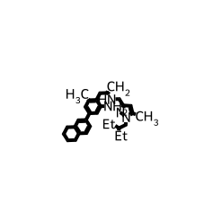 C=C(Cc1c(C)cc(-c2ccc3c(c2)CCCC3)cc1N)NCc1cc(C)n(CC(CC)CC)n1